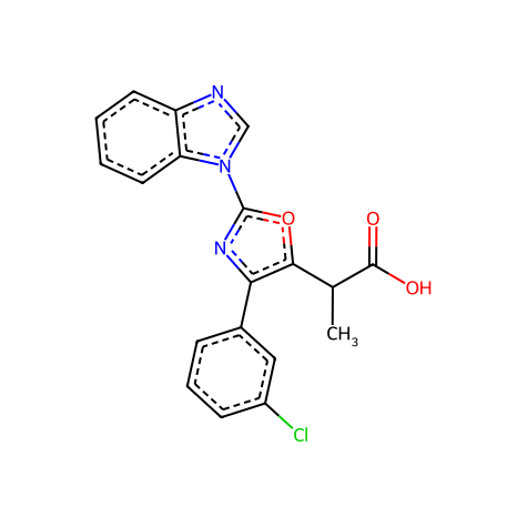 CC(C(=O)O)c1oc(-n2cnc3ccccc32)nc1-c1cccc(Cl)c1